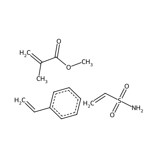 C=C(C)C(=O)OC.C=CS(N)(=O)=O.C=Cc1ccccc1